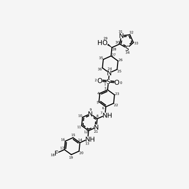 O=S(=O)(C1=CC=C(Nc2nccc(NC3=CC=C(F)CC3)n2)CC1)N1CCC([C@@H](O)c2nccs2)CC1